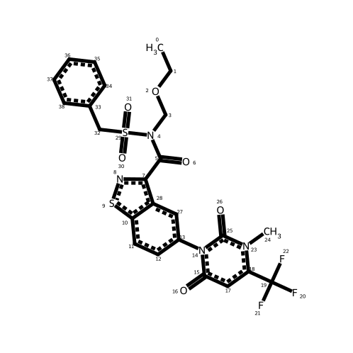 CCOCN(C(=O)c1nsc2ccc(-n3c(=O)cc(C(F)(F)F)n(C)c3=O)cc12)S(=O)(=O)Cc1ccccc1